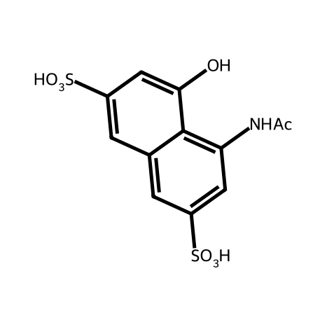 CC(=O)Nc1cc(S(=O)(=O)O)cc2cc(S(=O)(=O)O)cc(O)c12